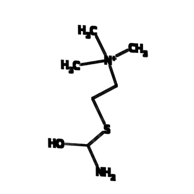 C[N+](C)(C)CCSC(N)O